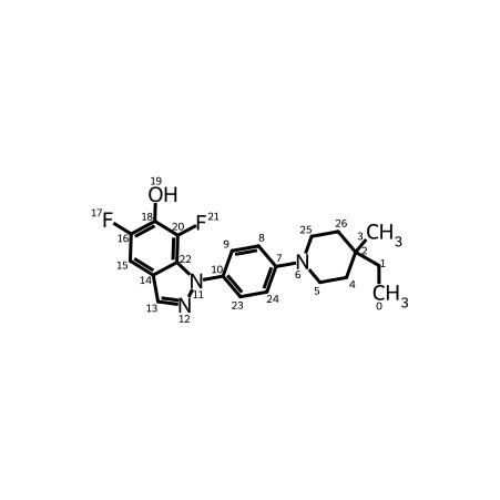 CCC1(C)CCN(c2ccc(-n3ncc4cc(F)c(O)c(F)c43)cc2)CC1